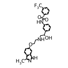 Cc1n[nH]c2cc(OCCNCC(O)c3cccc(NS(=O)(=O)c4cccc(C(F)(F)F)c4)c3)ccc12